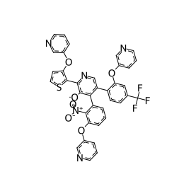 [O]c1c(-c2sccc2Oc2cccnc2)ncc(-c2ccc(C(F)(F)F)cc2Oc2cccnc2)c1-c1cccc(Oc2cccnc2)c1[N+](=O)[O-]